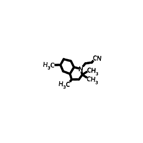 CC1CCC2C(C1)C(C)CC(C)(C)N2CCC#N